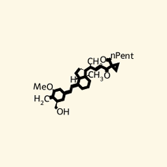 C=C1[C@H](CO)C/C(=C/C=C2\CCC[C@]3(C)[C@@H]([C@H](C)/C=C/C(=O)C4(C(=O)CCCCC)CC4)CC[C@@H]23)C[C@H]1OC